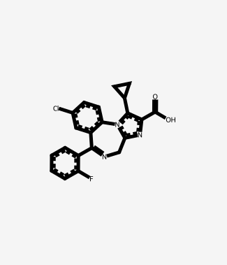 O=C(O)c1nc2n(c1C1CC1)-c1ccc(Cl)cc1C(c1ccccc1F)=NC2